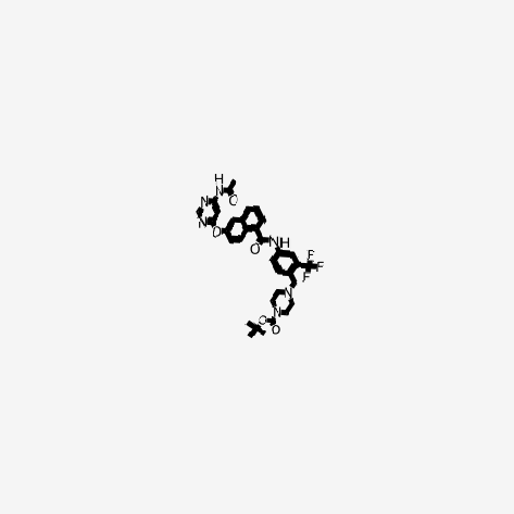 CC(=O)Nc1cc(Oc2ccc3c(C(=O)Nc4ccc(CN5CCN(C(=O)OC(C)(C)C)CC5)c(C(F)(F)F)c4)cccc3c2)ncn1